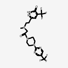 CN(CCc1cc(C(F)(F)F)c(=O)[nH]n1)CC(=O)N1CCN(c2ncc(C(F)(F)F)cn2)CC1